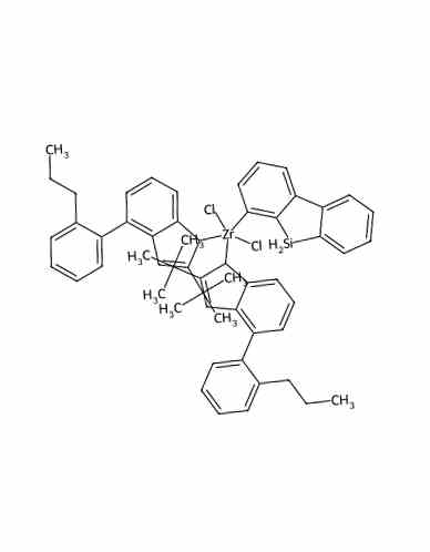 CCCc1ccccc1-c1cccc2c1C=C(C(C)(C)C)[CH]2[Zr]([Cl])([Cl])([c]1cccc2c1[SiH2]c1ccccc1-2)[CH]1C(C(C)(C)C)=Cc2c(-c3ccccc3CCC)cccc21